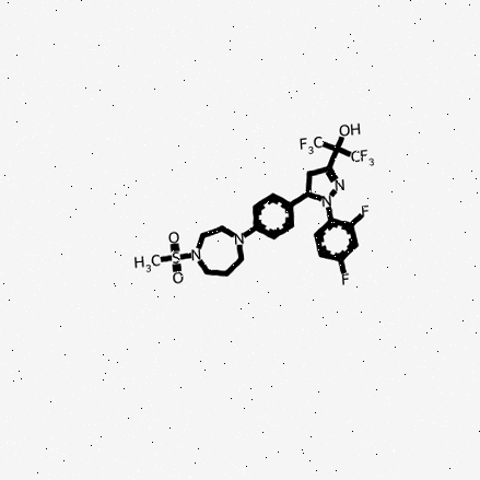 CS(=O)(=O)N1CCCN(c2ccc(C3CC(C(O)(C(F)(F)F)C(F)(F)F)=NN3c3ccc(F)cc3F)cc2)CC1